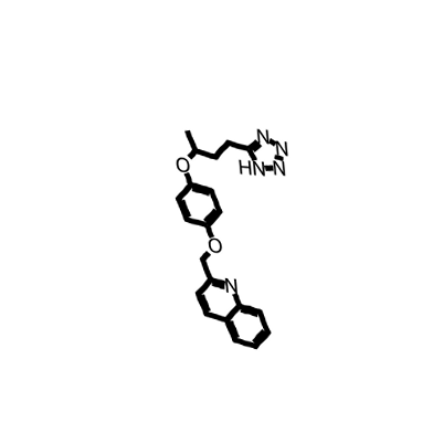 CC(CCc1nnn[nH]1)Oc1ccc(OCc2ccc3ccccc3n2)cc1